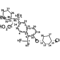 CC[C@H](c1ccc2c(C(F)F)c(O[C@H]3CC[C@@H](C)CC3)ccc2c1)[C@]1(CC(=O)O)CCCNC1